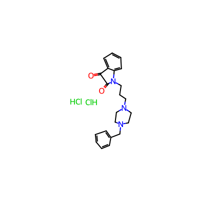 Cl.Cl.O=C1C(=O)N(CCCN2CCN(Cc3ccccc3)CC2)c2ccccc21